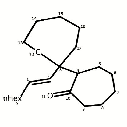 CCCCCCC=CC1(C2CCCCCC2=O)CCCCCC1